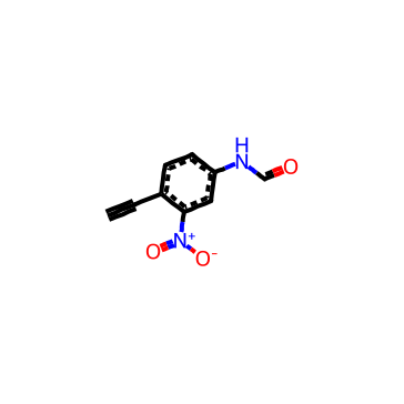 C#Cc1ccc(NC=O)cc1[N+](=O)[O-]